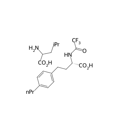 CC(C)CC(N)C(=O)O.CCCc1ccc(CC[C@H](NC(=O)C(F)(F)F)C(=O)O)cc1